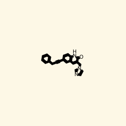 O=c1[nH]c2ccc(C#CCc3ccccc3)cc2cc1Cn1ccnc1